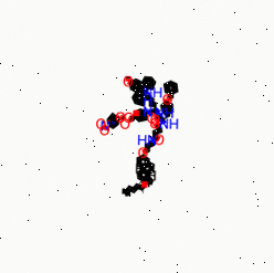 COc1ccc(C(NCCCC[C@H](NC(=O)[C@H](Cc2ccc(OCc3ccccc3)cc2)NC(=O)CCC(=O)NCCCO[C@H]2CC[C@@]3(C)C(=CC[C@H]4[C@@H]5CC[C@H]([C@H](C)CCCC(C)C)[C@@]5(C)CC[C@@H]43)C2)C(=O)Nc2ccc(COC(=O)Oc3ccc([N+](=O)[O-])cc3)cc2)(c2ccccc2)c2ccccc2)cc1